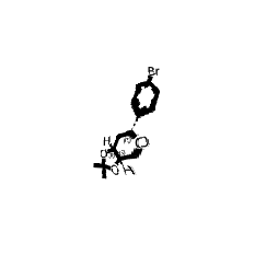 CC1(C)O[C@H]2CO[C@@H](c3ccc(Br)cc3)C[C@H]2O1